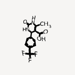 CC1=C(C(=O)O)C(c2ccc(C(F)(F)F)cc2)NC(=O)N1